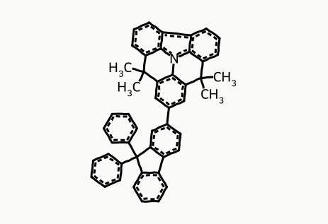 CC1(C)c2cc(-c3ccc4c(c3)C(c3ccccc3)(c3ccccc3)c3ccccc3-4)cc3c2-n2c4c1cccc4c1cccc(c12)C3(C)C